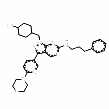 OC1CCC(Cn2nc(-c3ccc(N4CCNCC4)nc3)c3cnc(NCCCc4ccccc4)nc32)CC1